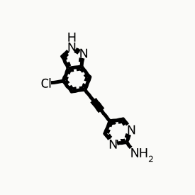 Nc1ncc(C#Cc2cc(Cl)c3c[nH]nc3c2)cn1